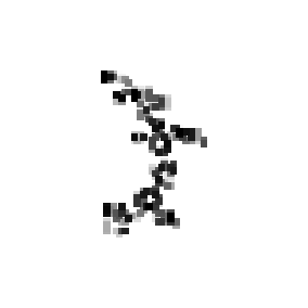 COc1cc(-c2noc(-c3cnc(CC(C)C)c(C)c3)n2)cc(Cl)c1OC[C@H](O)CNC(=O)CO